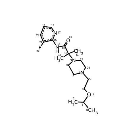 CC(C)OCCN1CCN(C(C)(C)C(=O)Nc2ncccc2F)CC1